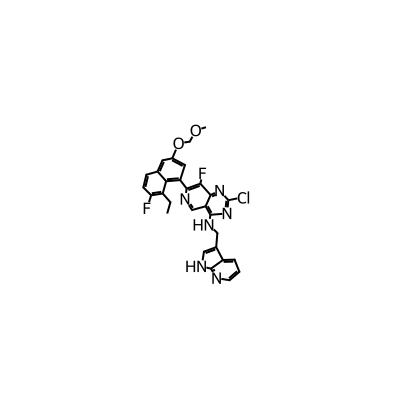 CCc1c(F)ccc2cc(OCOC)cc(-c3ncc4c(NCc5c[nH]c6ncccc56)nc(Cl)nc4c3F)c12